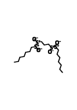 CCCCCCC[S+]([O-])[S+]([O-])CCC[S+]([O-])[S+]([O-])CCCCCCC